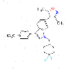 CC1=NOC(C)C1c1ccc2c(-c3ccc(C(=O)O)cc3)cn(CC3CCC(F)(F)CC3)c2c1